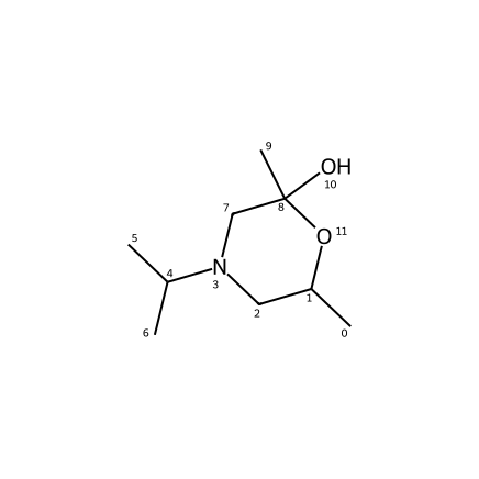 CC1CN(C(C)C)CC(C)(O)O1